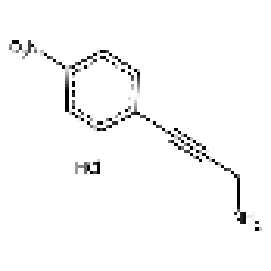 Cl.NCC#Cc1ccc([N+](=O)[O-])cc1